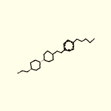 CCCCCc1ccc(CCC2CCC([C@H]3CC[C@H](CCC)CC3)CC2)cc1